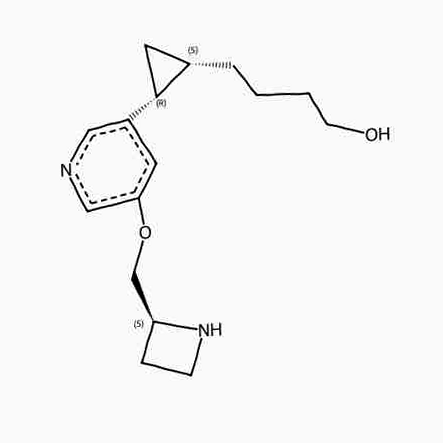 OCCCC[C@H]1C[C@H]1c1cncc(OC[C@@H]2CCN2)c1